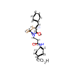 Cc1ccc(/C=C2\SC(=S)N(CCC(=O)Nc3ccc(C(=O)O)cc3)C2=O)cc1